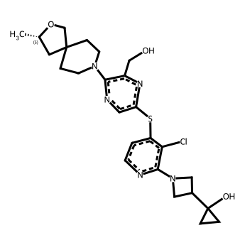 C[C@H]1CC2(CCN(c3ncc(Sc4ccnc(N5CC(C6(O)CC6)C5)c4Cl)nc3CO)CC2)CO1